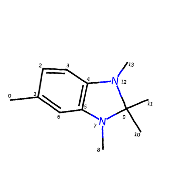 Cc1ccc2c(c1)N(C)C(C)(C)N2C